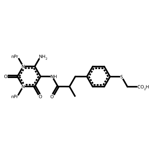 CCCn1c(N)c(NC(=O)C(C)Cc2ccc(SCC(=O)O)cc2)c(=O)n(CCC)c1=O